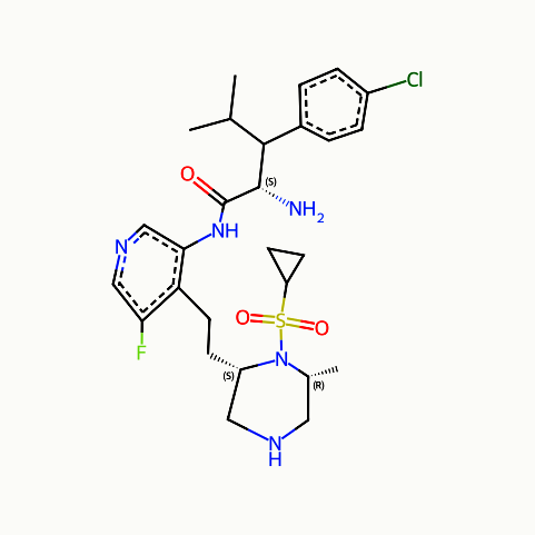 CC(C)C(c1ccc(Cl)cc1)[C@H](N)C(=O)Nc1cncc(F)c1CC[C@H]1CNC[C@@H](C)N1S(=O)(=O)C1CC1